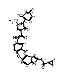 Cn1cc(C(=O)Nc2ccc(Oc3ccc4nc(NC(=O)C5CC5)cn4c3)c(F)c2)c(=O)n1-c1ccc(F)cc1F